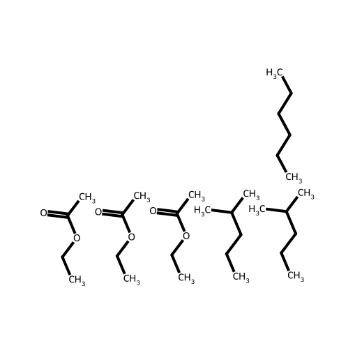 CCCC(C)C.CCCC(C)C.CCCCCC.CCOC(C)=O.CCOC(C)=O.CCOC(C)=O